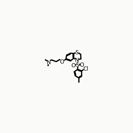 Cc1ccc(S(=O)(=O)N2CCSc3ccc(OCCCN(C)C)cc32)c(Cl)c1